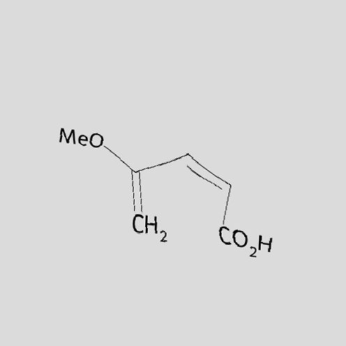 C=C(/C=C\C(=O)O)OC